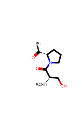 CC(=O)N[C@@H](CO)C(=O)N1CCC[C@H]1C(=O)C(C)C